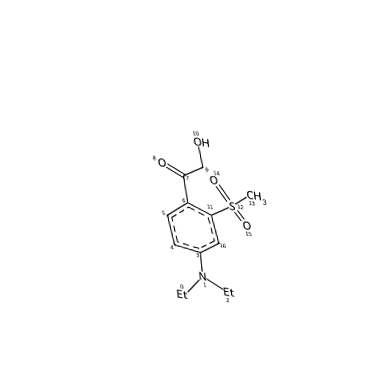 CCN(CC)c1ccc(C(=O)CO)c(S(C)(=O)=O)c1